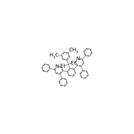 CCC(CC)(c1cc(C)cc(C)c1)c1c(-c2cnc(-c3ccccc3)cc2-c2ccccc2)cccc1-c1cnc(-c2ccccc2)cc1-c1ccccc1